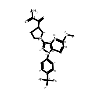 C=C(C(N)=O)C1CCN(c2nn(-c3ccc(C(F)(F)F)cc3)c3ccc(OC)nc23)C1